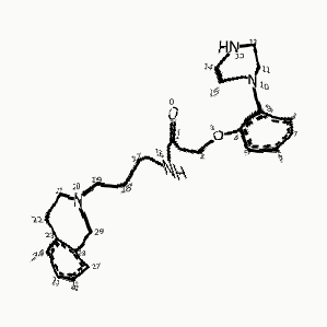 O=C(COc1ccccc1N1CCNCC1)NCCCN1CCc2ccccc2C1